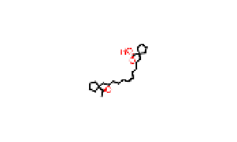 CC(=O)C1(CCCCC/C=C\CCCCC2(C(=O)O)CCCC2)CCCC1